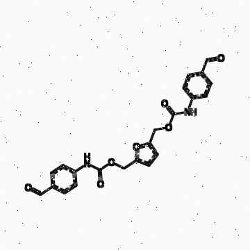 O=Cc1ccc(NC(=O)OCc2ccc(COC(=O)Nc3ccc(C=O)cc3)o2)cc1